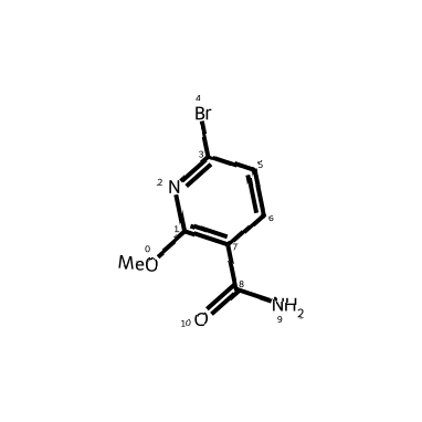 COc1nc(Br)ccc1C(N)=O